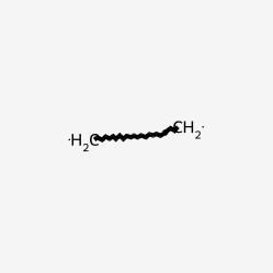 [CH2]CCC#CCCCCCCCCCCCCCCCCCC[CH2]